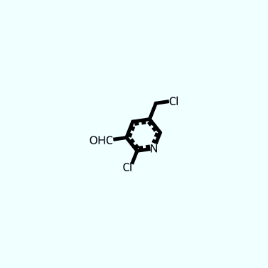 O=Cc1cc(CCl)cnc1Cl